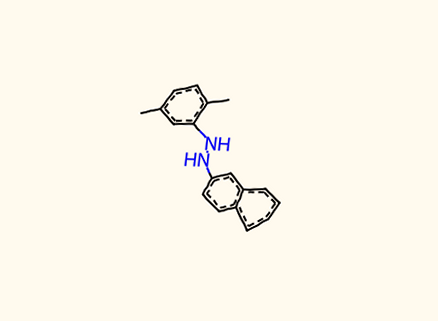 Cc1ccc(C)c(NNc2ccc3ccccc3c2)c1